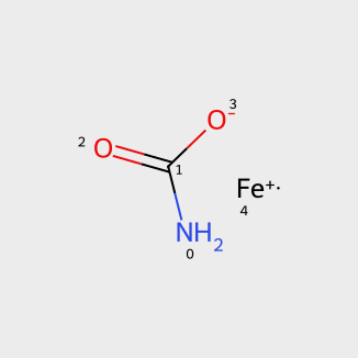 NC(=O)[O-].[Fe+]